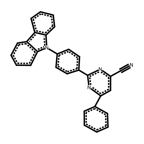 N#Cc1cc(-c2ccccc2)nc(-c2ccc(-n3c4ccccc4c4ccccc43)cc2)n1